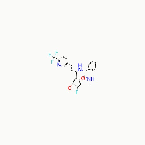 CNC(=O)C(NC(CCc1ccc(C(F)(F)F)nc1)c1ccc(F)c(OC)c1)c1ccccc1